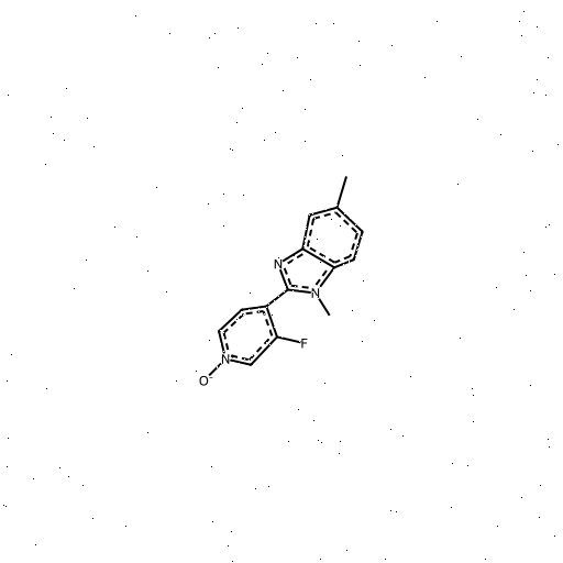 Cc1ccc2c(c1)nc(-c1cc[n+]([O-])cc1F)n2C